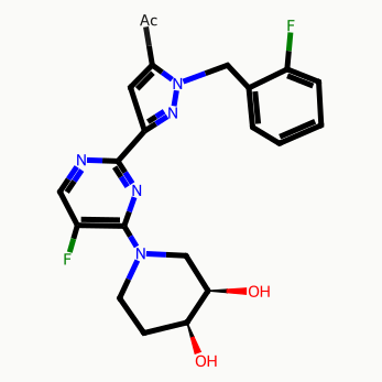 CC(=O)c1cc(-c2ncc(F)c(N3CC[C@H](O)[C@H](O)C3)n2)nn1Cc1ccccc1F